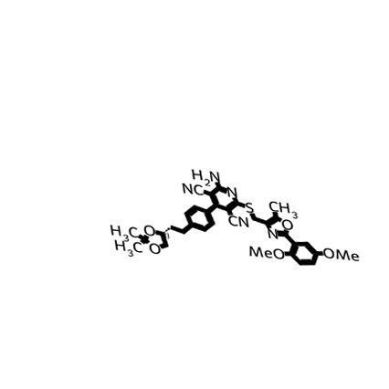 COc1ccc(OC)c(-c2nc(CSc3nc(N)c(C#N)c(-c4ccc(CC[C@@H]5COC(C)(C)O5)cc4)c3C#N)c(C)o2)c1